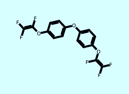 FC(F)=C(F)Oc1ccc(Oc2ccc(OC(F)=C(F)F)cc2)cc1